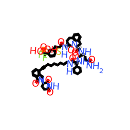 NC(=O)CC[C@H](NC(=O)[C@@H]1Cc2cccc3c2N1C(=O)[C@@H](NC(=O)c1cc2cc(C(F)(F)P(=O)(O)O)ccc2s1)CC3)C(=O)N[C@H](C(=O)NCCCCCCCC#Cc1cccc2c1CN(C1CCC(=O)NC1=O)C2=O)C1CCCCC1